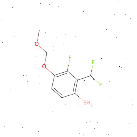 Bc1ccc(OCOC)c(F)c1C(F)F